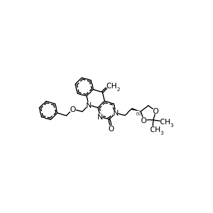 C=C1c2ccccc2N(COCc2ccccc2)c2nc(=O)n(CC[C@H]3COC(C)(C)O3)cc21